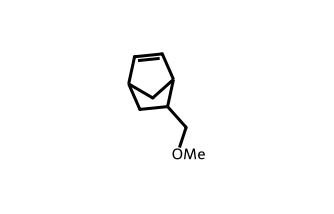 [CH2]OCC1CC2C=CC1C2